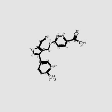 Cc1ccc(-c2noc(CF)c2COc2ccc(C(=O)O)nn2)cn1